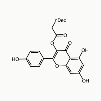 CCCCCCCCCCCC(=O)Oc1c(-c2ccc(O)cc2)oc2cc(O)cc(O)c2c1=O